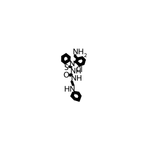 NCc1cccc(Cl)c1N1c2ccccc2SC1NC(=O)NCCNc1ccccc1